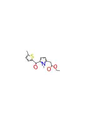 CCOC(=O)Cc1ccc(C(=O)c2ccc(C)s2)n1C